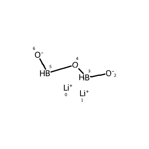 [Li+].[Li+].[O-]BOB[O-]